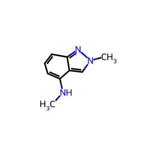 CNc1cccc2nn(C)cc12